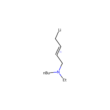 [Li][CH2]/C=C/CN(CC)CCCC